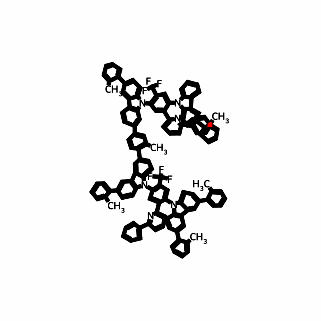 Cc1ccccc1-c1ccc2c(c1)c1ccccc1n2-c1cc(C(F)(F)F)c(-n2c3ccc(-c4ccccc4C)cc3c3ccc(-c4ccc(-c5ccc6c(c5)c5cc(-c7ccccc7C)ccc5n6-c5cc(-c6cccc(-c7ccccc7)n6)c(-n6c7ccc(-c8ccccc8C)cc7c7cc(-c8ccccc8C)ccc76)cc5C(F)(F)F)c(C)c4)cc32)cc1-c1cccc(-c2ccccc2)n1